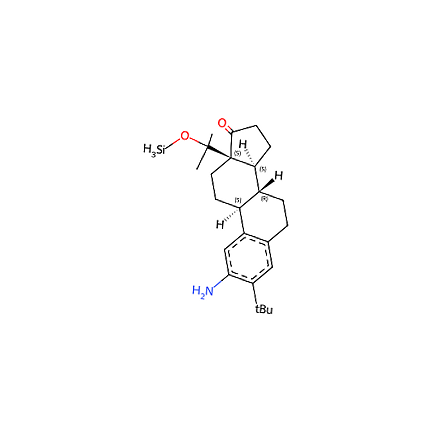 CC(C)(C)c1cc2c(cc1N)[C@H]1CC[C@]3(C(C)(C)O[SiH3])C(=O)CC[C@H]3[C@@H]1CC2